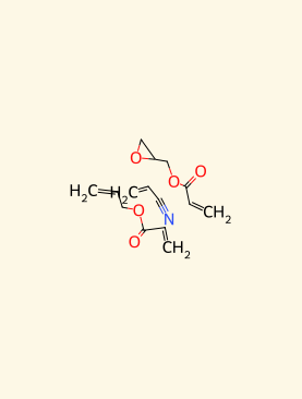 C=CC#N.C=CC(=O)OCC1CO1.C=CCOC(=O)C=C